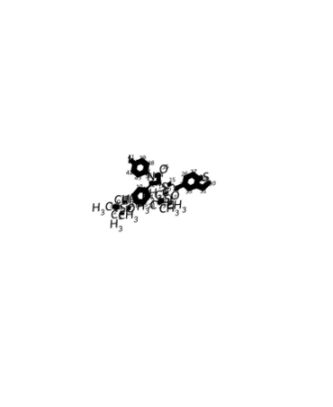 CC(C)(C)[Si](C)(C)Oc1ccc([C@@H]2[C@@H](SC[C@@H](O[Si](C)(C)C(C)(C)C)c3ccc4sccc4c3)C(=O)N2c2ccc(I)cc2)cc1